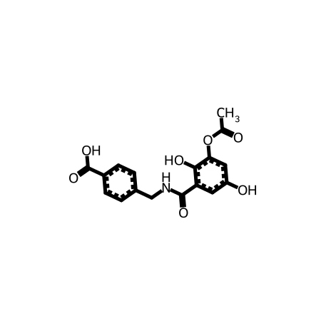 CC(=O)Oc1cc(O)cc(C(=O)NCc2ccc(C(=O)O)cc2)c1O